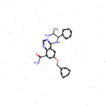 CC(N)C(Nc1ncnc2c(C(N)=O)cc(OCc3ccccc3)cc12)c1ccccc1